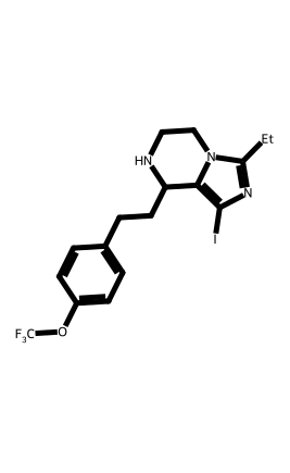 CCc1nc(I)c2n1CCNC2CCc1ccc(OC(F)(F)F)cc1